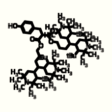 CN1C(C)(C)CC(C(CCCOC(=O)C(Cc2ccc(O)cc2)C(=O)OCCCC(C2CC(C)(C)N(C)C(C)(C)C2C(C)(C)C)C2CC(C)(C)N(C)C(C)(C)C2C(C)(C)C)C2CC(C)(C)N(C)C(C)(C)C2C(C)(C)C)C(C(C)(C)C)C1(C)C